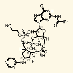 CC(C)C(=O)Nc1nc2c(ncn2[C@@H]2O[C@@H]3CO[P@@](=O)(S)O[C@@H]4[C@@H](CO[P@@](=S)(OCCC#N)O[C@@H]2[C@@H]3O[Si](C)(C)C(C)(C)C)C[C@@H](Nc2ccncn2)[C@H]4F)c(=O)[nH]1